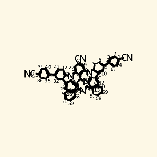 N#Cc1ccc(-c2ccc3c(c2)c2ccccc2n3-c2cc(C#N)cc(-n3c4ccccc4c4cc(-c5ccc(C#N)cc5)ccc43)c2-c2cc(-c3ccccc3)nc(-c3ccccc3)n2)cc1